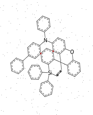 c1ccc(-c2ccc(N(c3ccccc3)c3ccc4c(c3)C3(c5ccccc5O4)c4ccccc4[Si](c4ccccc4)(c4ccccc4)c4ccccc43)cc2)cc1